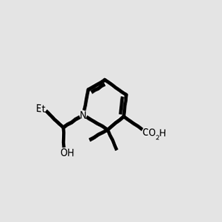 CCC(O)N1C=CC=C(C(=O)O)C1(C)C